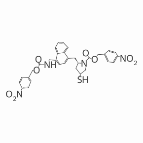 O=C(NCc1ccc(C[C@@H]2C[C@H](S)CN2C(=O)OCc2ccc([N+](=O)[O-])cc2)c2ccccc12)OCc1ccc([N+](=O)[O-])cc1